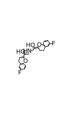 O[C@@H](CNC[C@H](O)[C@@H]1CCc2cc(F)ccc2O1)[C@@H]1CCc2cc(F)ccc2O1